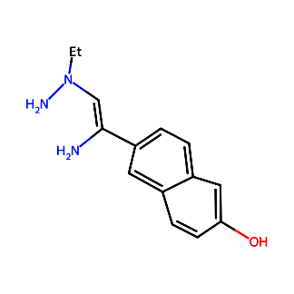 CCN(N)/C=C(\N)c1ccc2cc(O)ccc2c1